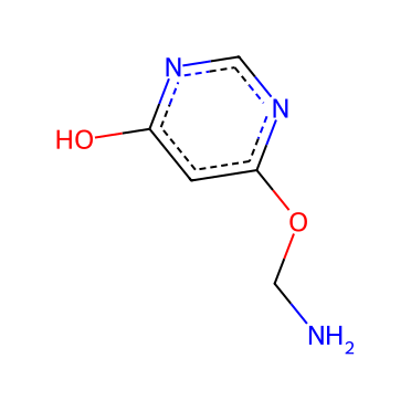 NCOc1cc(O)ncn1